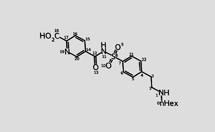 CCCCCCNCCc1ccc(S(=O)(=O)NC(=O)c2ccc(C(=O)O)nc2)cc1